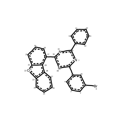 Brc1cccc(-c2nc(-c3ccccc3)nc(-c3cccc4oc5ccccc5c34)n2)c1